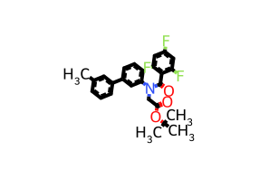 Cc1cccc(-c2cccc(N(CC(=O)OC(C)(C)C)C(=O)c3c(F)cc(F)cc3F)c2)c1